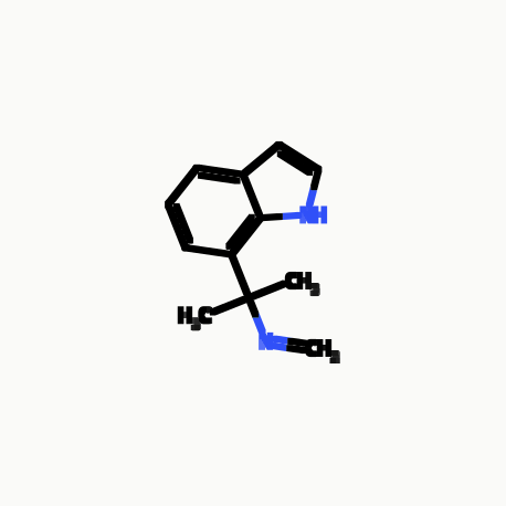 C=NC(C)(C)c1cccc2cc[nH]c12